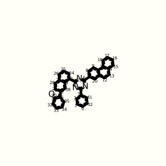 c1ccc(-c2nc(-c3ccc4c(ccc5ccccc54)c3)nc(-c3cccc4cc5oc6ccccc6c5cc34)n2)cc1